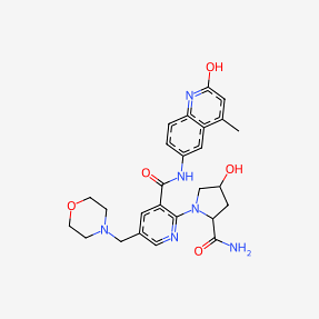 Cc1cc(O)nc2ccc(NC(=O)c3cc(CN4CCOCC4)cnc3N3CC(O)CC3C(N)=O)cc12